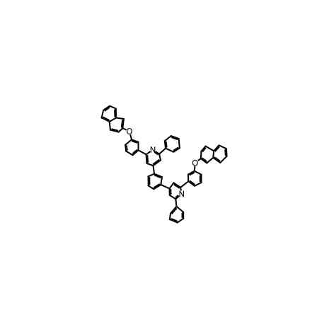 c1ccc(-c2cc(-c3cccc(-c4cc(-c5ccccc5)nc(-c5cccc(Oc6ccc7ccccc7c6)c5)c4)c3)cc(-c3cccc(Oc4ccc5ccccc5c4)c3)n2)cc1